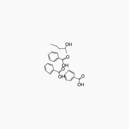 CCCC(C)O.O=C(O)c1ccccc1.O=C(O)c1ccccc1.O=C(O)c1ccccc1